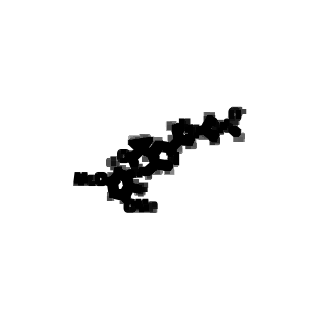 COc1cc(OC)c(F)c(N2Cc3cnc(-c4cnn(C5CN([S+](C)[O-])C5)c4)cc3C3(CC3)C2=O)c1F